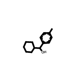 Cc1ccc(C(O)C2CCCCC2)cc1